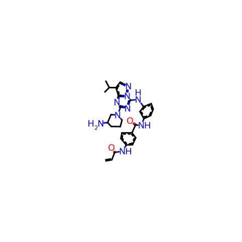 C=CC(=O)Nc1ccc(C(=O)Nc2cccc(Nc3nc(N4CCCC(N)C4)nc4c(C(C)C)cnn34)c2)cc1